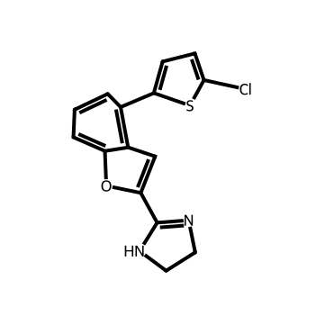 Clc1ccc(-c2cccc3oc(C4=NCCN4)cc23)s1